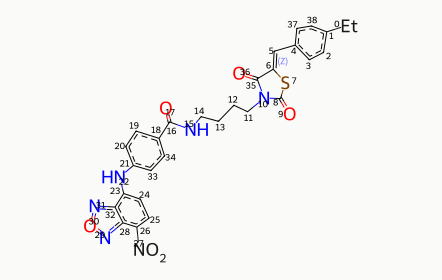 CCc1ccc(/C=C2\SC(=O)N(CCCCNC(=O)c3ccc(Nc4ccc([N+](=O)[O-])c5nonc45)cc3)C2=O)cc1